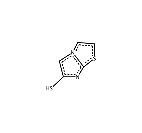 Sc1cn2ccsc2n1